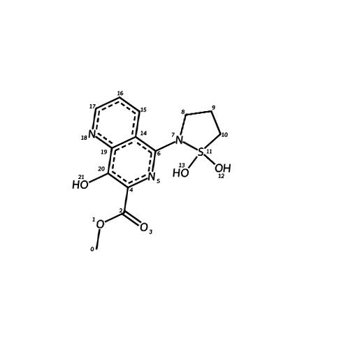 COC(=O)c1nc(N2CCCS2(O)O)c2cccnc2c1O